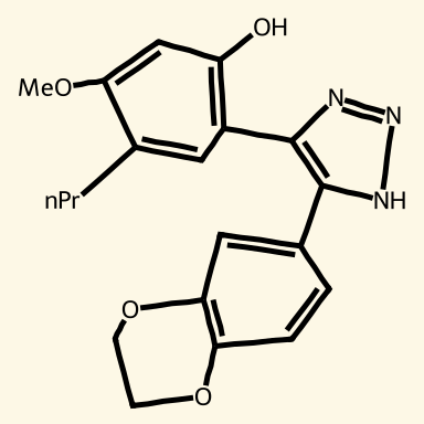 CCCc1cc(-c2nn[nH]c2-c2ccc3c(c2)OCCO3)c(O)cc1OC